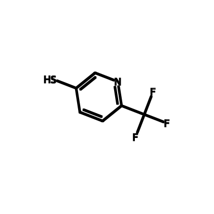 FC(F)(F)c1ccc(S)cn1